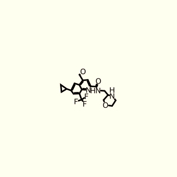 O=Cc1cc(C(=O)NCC2COCCN2)nc2c(C(F)(F)F)cc(C3CC3)cc12